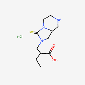 CCC(CN1CC2CNCCN2C1=S)C(=O)O.Cl